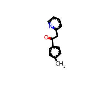 Cc1ccc(C(=O)Cc2ccccn2)cc1